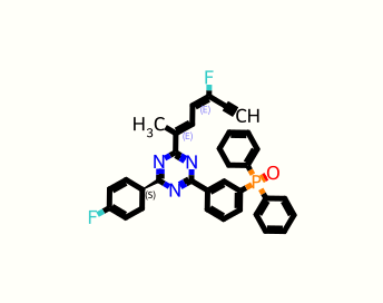 C#C/C(F)=C\C=C(/C)c1nc(-c2cccc(P(=O)(C3=CC=CCC3)c3ccccc3)c2)nc([C@@H]2C=CC(F)=CC2)n1